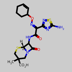 CC1(C(=O)O)CS[C@@H]2C(NC(=O)C(=NOC3C=CCCC3)c3nsc(N)n3)C(=O)N2C1